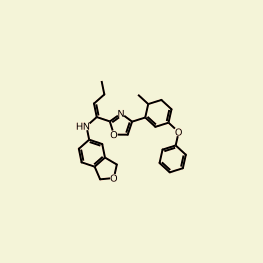 CCC=C(Nc1ccc2c(c1)COC2)c1nc(C2=CC(Oc3ccccc3)=CCC2C)co1